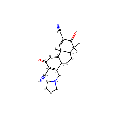 CC1(C)C(=O)C(C#N)=CC2(C)C3=CC(=O)C(C#N)=C(CN4CCCC4)C3CCC12